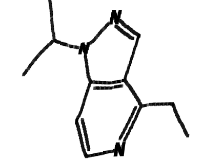 CCc1nccc2c1cnn2C(C)C